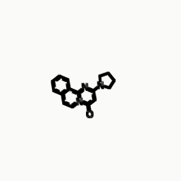 O=c1cc(N2CCCC2)nc2c3ccccc3ccn12